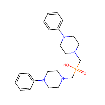 O=P(O)(CN1CCN(c2ccccc2)CC1)CN1CCN(c2ccccc2)CC1